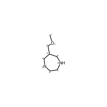 COCC1C[N]CCNC1